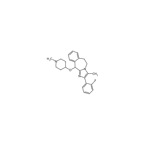 Cc1c(-c2ccccc2F)nc2n1CCc1ccccc1C2OC1CCN(C)CC1